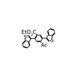 CCOC(=O)c1cc(-c2csc3ccccc23)c(C(C)=O)cc1-c1csc2ccccc12